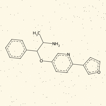 CC(N)C(Oc1c[c]c(-c2ccoc2)nc1)c1ccccc1